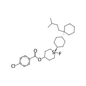 CC(C)CCC1([C@H]2CC[C@H]([Si]3(F)CCC(OC(=O)c4ccc(Cl)cc4)CC3)CC2)CCCCC1